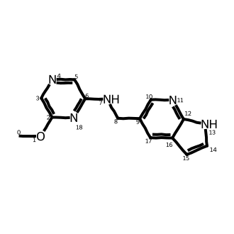 COc1cncc(NCc2cnc3[nH]ccc3c2)n1